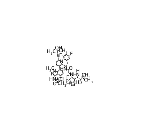 CN(C)C(=O)C(=N)C1=C(NCC(=O)N[C@@H](Cc2cc(F)cc(F)c2)c2nc(C#CC(C)(C)O)ccc2-c2ccc(Cl)c3c(NS(C)(=O)=O)nn(C)c23)C(F)(F)[C@@H]2C#C[C@H]12